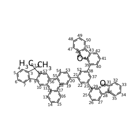 CC1(C)c2ccccc2-c2cc3c4ccccc4c4cc(-c5cc(-c6cccc7c6oc6ccccc67)cc(-c6cccc7c6oc6ccccc67)c5)ccc4c3cc21